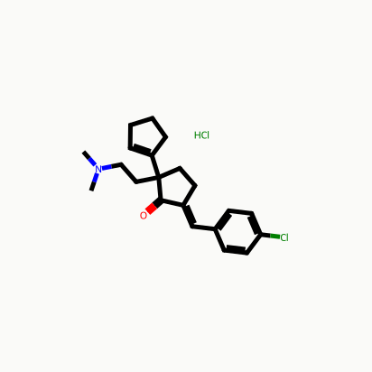 CN(C)CCC1(C2=CCCC2)CCC(=Cc2ccc(Cl)cc2)C1=O.Cl